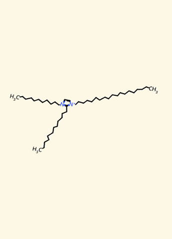 CCCCCCCCCCCCCCCCCCC[n+]1ccn(CCCCCCCCCCC)c1CCCCCCCCCCCC